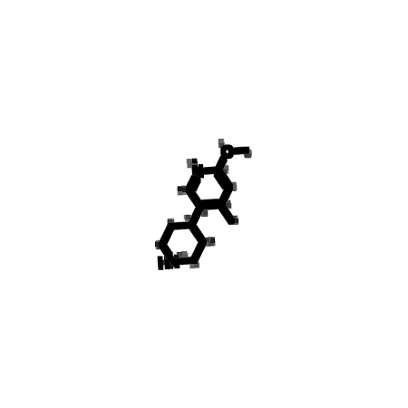 COc1cc(C)c(C2CCNCC2)cn1